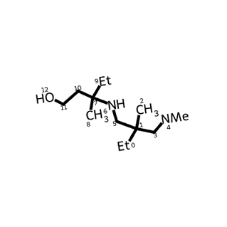 CCC(C)(CNC)CNC(C)(CC)CCO